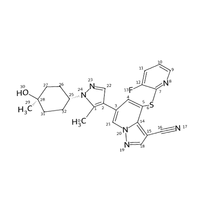 Cc1c(-c2cc(Sc3ncccc3F)c3c(C#N)cnn3c2)cnn1[C@H]1CC[C@](C)(O)CC1